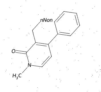 CCCCCCCCCCc1c(-c2ccccc2)ccn(C)c1=O